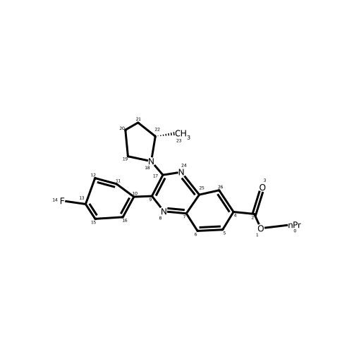 CCCOC(=O)c1ccc2nc(-c3ccc(F)cc3)c(N3CCC[C@@H]3C)nc2c1